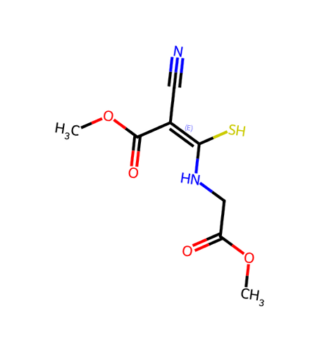 COC(=O)CN/C(S)=C(/C#N)C(=O)OC